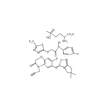 C#CCN1C(=O)COc2cc(F)c(/N=c3\snc4n3CC(C)(C)C4)cc21.CC(C)N(C(=O)COc1nnc(C(F)(F)F)s1)c1ccc(F)cc1.CP(=O)(O)CCC(N)C(=O)O